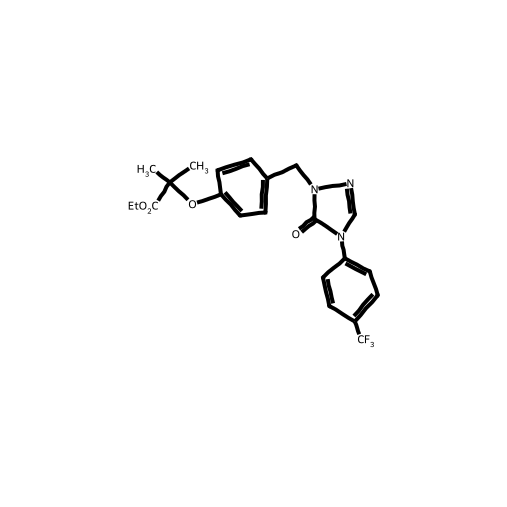 CCOC(=O)C(C)(C)Oc1ccc(Cn2ncn(-c3ccc(C(F)(F)F)cc3)c2=O)cc1